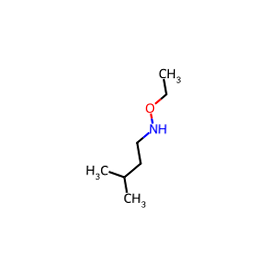 CCONCCC(C)C